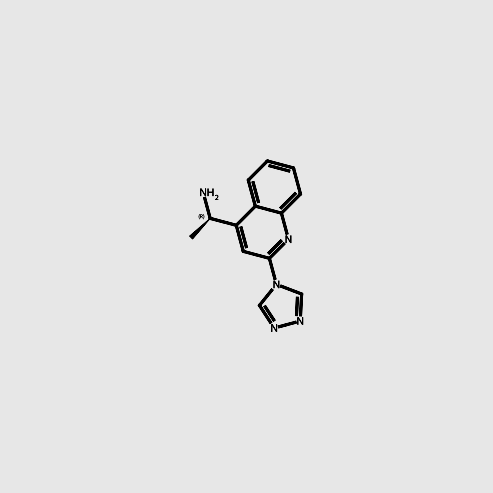 C[C@@H](N)c1cc(-n2cnnc2)nc2ccccc12